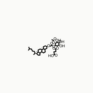 CC(=O)O[C@@H]1[C@H](O)[C@@H](O)[C@H](O)[C@@H](OC(=O)CCC(=O)O)[C@@H]1OC(=O)CO[C@H]1CC[C@@]2(C)C(CCC3C2CC[C@@]2(C)C3CC[C@@H]2C(C)CCCC(C)C)C1